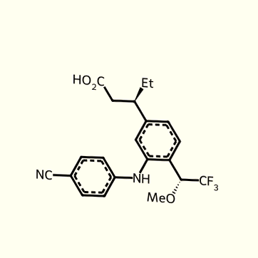 CC[C@H](CC(=O)O)c1ccc([C@@H](OC)C(F)(F)F)c(Nc2ccc(C#N)cc2)c1